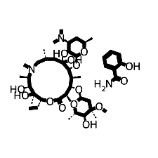 CC[C@H]1OC(=O)[C@H](C)[C@@H](O[C@H]2C[C@@](C)(OC)[C@@H](O)[C@H](C)O2)[C@H](C)[C@@H](O[C@@H]2O[C@H](C)C[C@H](N(C)C)[C@H]2O)[C@](C)(O)C[C@@H](C)CN(C)[C@H](C)[C@@H](O)[C@]1(C)O.NC(=O)c1ccccc1O